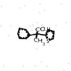 CC(C(=O)O)(c1ccccc1)c1cccs1